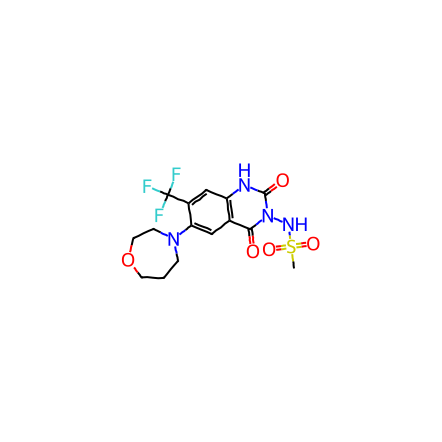 CS(=O)(=O)Nn1c(=O)[nH]c2cc(C(F)(F)F)c(N3CCCOCC3)cc2c1=O